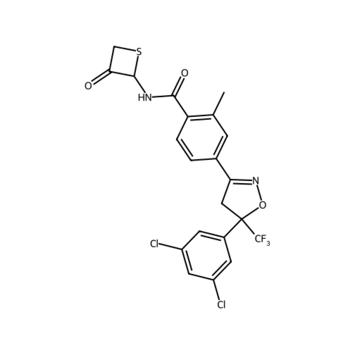 Cc1cc(C2=NOC(c3cc(Cl)cc(Cl)c3)(C(F)(F)F)C2)ccc1C(=O)NC1SCC1=O